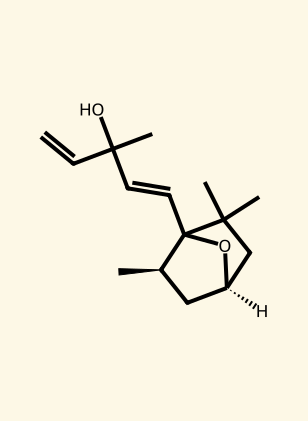 C=CC(C)(O)C=CC12O[C@H](C[C@H]1C)CC2(C)C